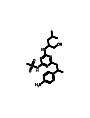 CC(C)CC(CO)Nc1nc(CC(C)c2ccc(N)cc2)nc(NS(C)(=O)=O)n1